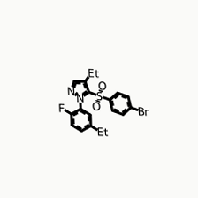 CCc1ccc(F)c(-n2ncc(CC)c2S(=O)(=O)c2ccc(Br)cc2)c1